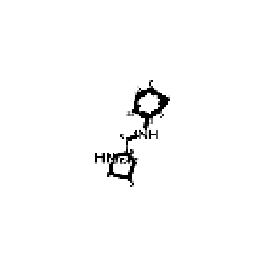 c1ccc(NC[C@@H]2CCCN2)cc1